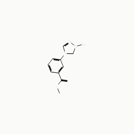 COC(=O)c1cccc(N2C=NN(Br)C2)c1